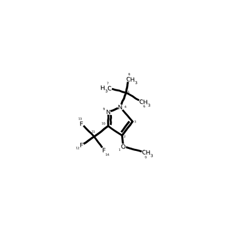 COc1cn(C(C)(C)C)nc1C(F)(F)F